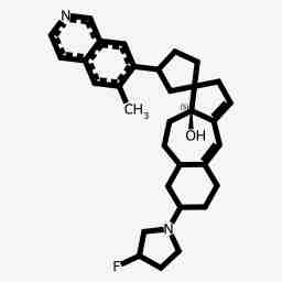 Cc1cc2ccncc2cc1C1CCC2(CC=C3C=C4CCC(N5CCC(F)C5)CC4CC[C@@]32O)C1